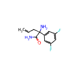 C=CCC(N)(C(N)=O)c1cc(F)cc(F)c1